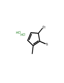 CCC1C=CC(C)=[C]1[Ti].Cl.Cl